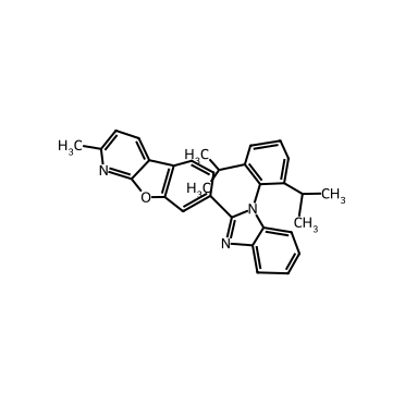 Cc1ccc2c(n1)oc1cc(-c3nc4ccccc4n3-c3c(C(C)C)cccc3C(C)C)ccc12